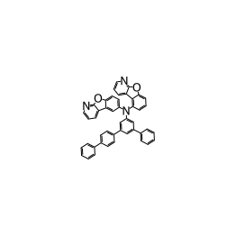 c1ccc(-c2ccc(-c3cc(-c4ccccc4)cc(N(c4ccc5oc6ncccc6c5c4)c4cccc5oc6ncccc6c45)c3)cc2)cc1